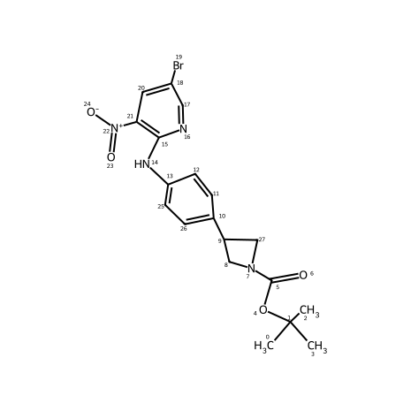 CC(C)(C)OC(=O)N1CC(c2ccc(Nc3ncc(Br)cc3[N+](=O)[O-])cc2)C1